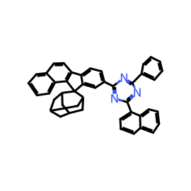 c1ccc(-c2nc(-c3ccc4c(c3)C3(c5c-4ccc4ccccc54)C4CC5CC(C4)CC3C5)nc(-c3cccc4ccccc34)n2)cc1